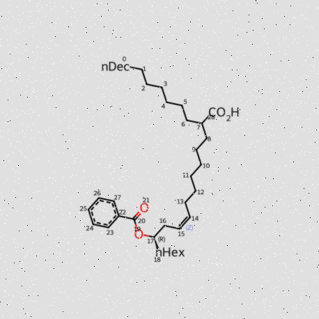 CCCCCCCCCCCCCCCCC(CCCCCC/C=C\C[C@@H](CCCCCC)OC(=O)c1ccccc1)C(=O)O